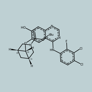 CC(C)(C)OC(=O)N1C[C@H]2C[C@@H](C1)[C@H]2Oc1cc2c(Nc3ccc(Cl)c(Cl)c3F)ncnc2cc1O